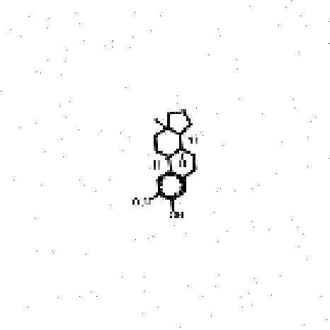 C[C@@]12CCC[C@H]1[C@@H]1CCc3cc(O)c([N+](=O)[O-])cc3[C@H]1CC2